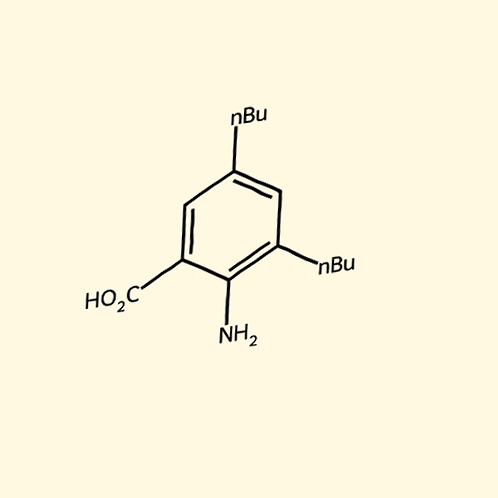 CCCCc1cc(CCCC)c(N)c(C(=O)O)c1